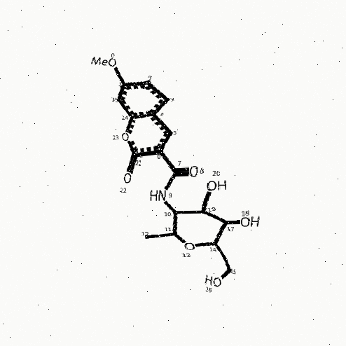 COc1ccc2cc(C(=O)NC3C(C)OC(CO)C(O)C3O)c(=O)oc2c1